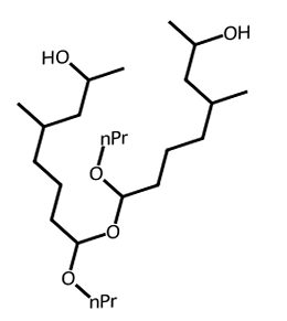 CCCOC(CCCC(C)CC(C)O)OC(CCCC(C)CC(C)O)OCCC